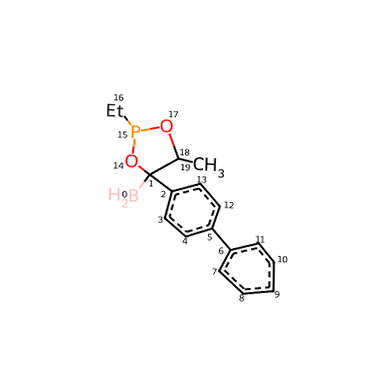 BC1(c2ccc(-c3ccccc3)cc2)OP(CC)OC1C